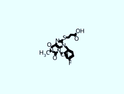 Cn1c(=O)c2nc(SCCC(=O)O)n(Cc3ccc(F)cc3)c2n(C)c1=O